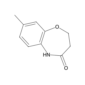 Cc1ccc2c(c1)OCCC(=O)N2